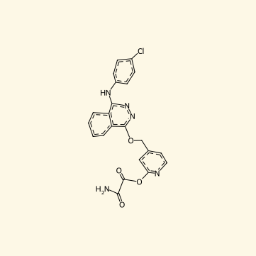 NC(=O)C(=O)Oc1cc(COc2nnc(Nc3ccc(Cl)cc3)c3ccccc23)ccn1